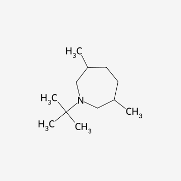 CC1CCC(C)CN(C(C)(C)C)C1